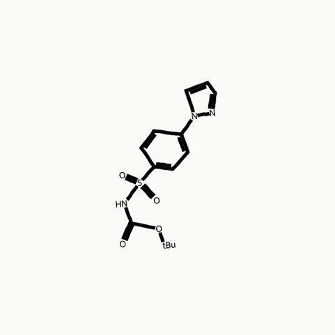 CC(C)(C)OC(=O)NS(=O)(=O)c1ccc(-n2cccn2)cc1